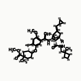 COC(=O)C1(C)CCC(Oc2cc(C(=O)N[C@H]3[C@@H](C(=O)NCC4(C)CCC4)[C@@H]4CC(=CC5CC5)[C@H]3C4)c(OC)cc2F)CC1